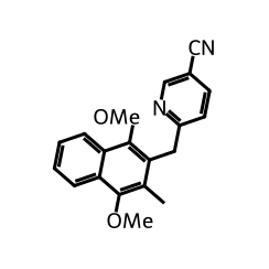 COc1c(C)c(Cc2ccc(C#N)cn2)c(OC)c2ccccc12